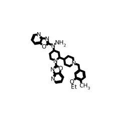 CCOc1cc(CN2CCC(C3CC(N(N)c4nc5ncccc5o4)CCN3c3nc4ncccc4o3)CC2)ccc1C